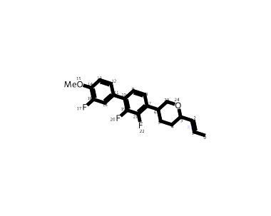 C/C=C/C1CCC(c2ccc(-c3ccc(OC)c(F)c3)c(F)c2F)CO1